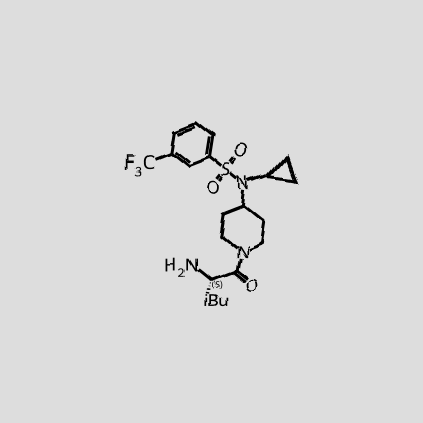 CCC(C)[C@H](N)C(=O)N1CCC(N(C2CC2)S(=O)(=O)c2cccc(C(F)(F)F)c2)CC1